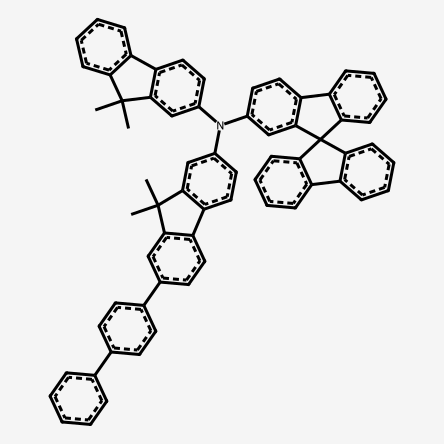 CC1(C)c2ccccc2-c2ccc(N(c3ccc4c(c3)C(C)(C)c3cc(-c5ccc(-c6ccccc6)cc5)ccc3-4)c3ccc4c(c3)C3(c5ccccc5-c5ccccc53)c3ccccc3-4)cc21